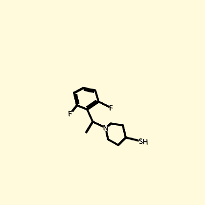 CC(c1c(F)cccc1F)N1CCC(S)CC1